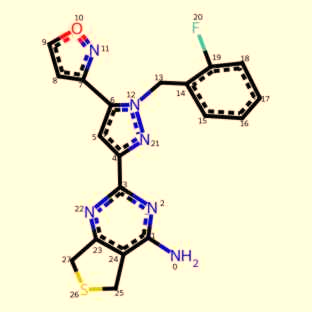 Nc1nc(-c2cc(-c3ccon3)n(Cc3ccccc3F)n2)nc2c1CSC2